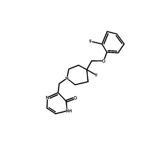 O=c1[nH]ccnc1CN1CCC(F)(COc2ccccc2F)CC1